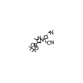 CN=C[C@H]1C[C@@](CC#N)(n2cc(B3OC(C)(C)C(C)(C)O3)c(C)n2)C1